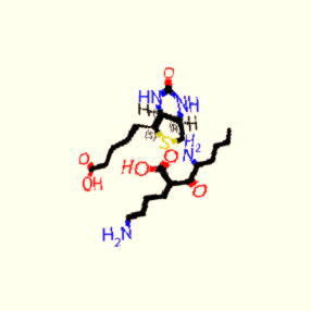 CCCCC(N)C(=O)C(CCCCN)C(=O)O.O=C(O)CCCC[C@@H]1SC[C@@H]2NC(=O)N[C@@H]21